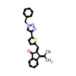 C/C(C#N)=C1/C(=C/c2ccc(-c3cn(Cc4ccccc4)nn3)s2)C(=O)c2ccccc21